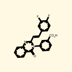 O=C(O)c1cccc(-n2c(/C=C/c3ccc(F)c(F)c3)nc3ccccc3c2=O)c1